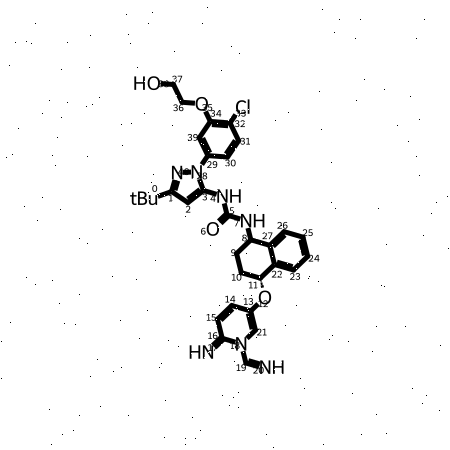 CC(C)(C)c1cc(NC(=O)NC2CC[C@@H](Oc3ccc(=N)n(C=N)c3)c3ccccc32)n(-c2ccc(Cl)c(OCCO)c2)n1